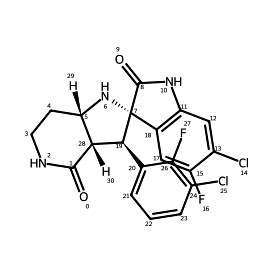 O=C1NCC[C@@H]2N[C@@]3(C(=O)Nc4cc(Cl)c(F)cc43)[C@@H](c3cccc(Cl)c3F)[C@H]12